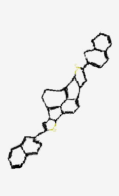 C1=CC2=CC=C(C3=CC4c5ccc6c7c5=C(CCC=7C5C=C(C7C=c8ccccc8=CC7)SC65)C4S3)CC2CC1